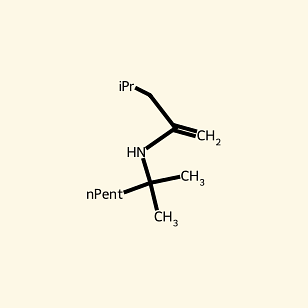 C=C(CC(C)C)NC(C)(C)CCCCC